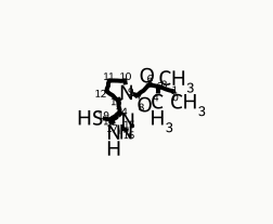 CCC(C)(C)C(=O)C(=O)N1CCCC1c1nn[nH]c1S